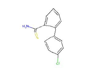 NC(=S)c1ccccc1-c1ccc(Cl)cc1